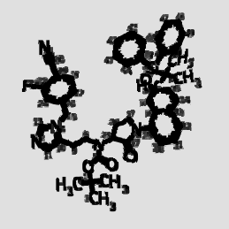 CC(C)(C)OC(=O)N(CCc1cncn1Cc1ccc(C#N)c(F)c1)C1CCN(c2cccc3ccc(O[Si](c4ccccc4)(c4ccccc4)C(C)(C)C)cc23)C1=O